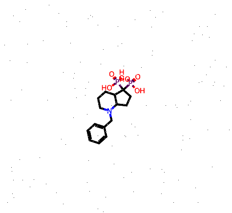 O=P(O)(O)C1(P(=O)(O)O)CCC2C1CCCN2Cc1ccccc1